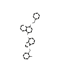 Clc1ccccc1Cn1cnc2c(Sc3ccc(OCc4ccccc4)c4ncccc34)cccc21